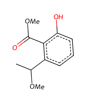 COC(=O)c1c(O)cccc1C(C)OC